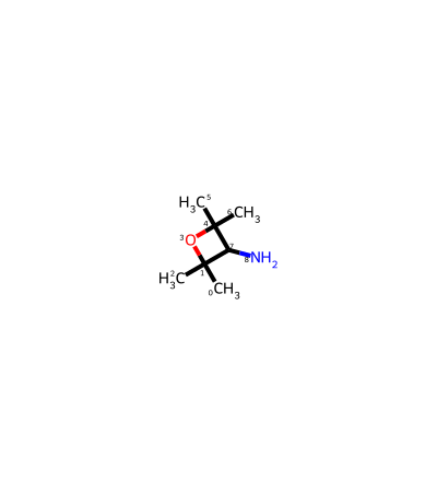 CC1(C)OC(C)(C)C1N